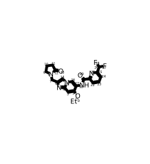 CCOc1cc2nc(CN3CCCC3=O)cn2cc1NC(=O)c1cccc(C(F)F)n1